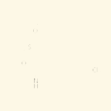 CCS(=O)(=O)c1ccc(Cl)cc1NC